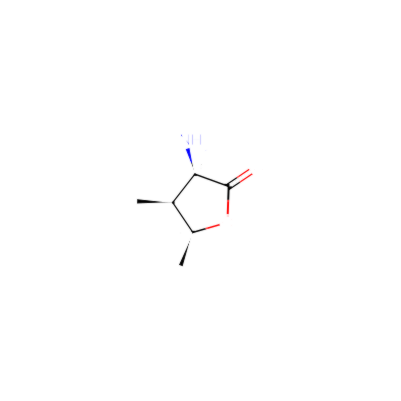 C[C@@H]1[C@H](C)OC(=O)[C@@H]1N